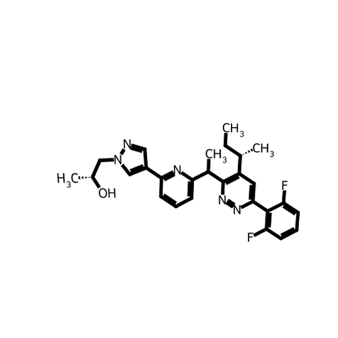 CC[C@H](C)c1cc(-c2c(F)cccc2F)nnc1C(C)c1cccc(-c2cnn(C[C@@H](C)O)c2)n1